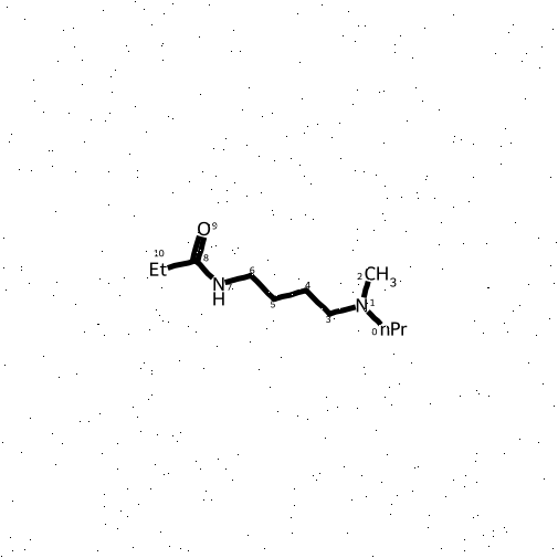 CCCN(C)CCCCNC(=O)CC